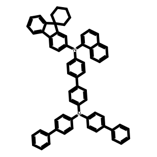 c1ccc(-c2ccc(N(c3ccc(-c4ccccc4)cc3)c3ccc(-c4ccc(N(c5ccc6c(c5)C5(CCCCC5)c5ccccc5-6)c5cccc6ccccc56)cc4)cc3)cc2)cc1